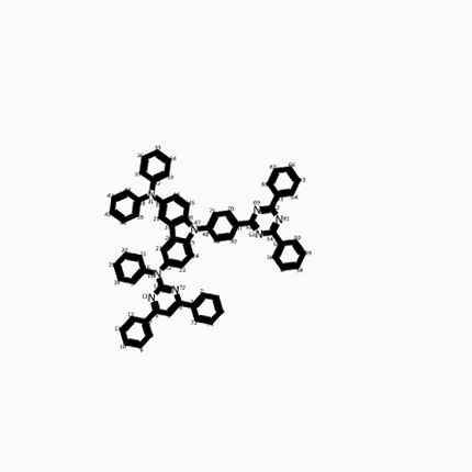 c1ccc(-c2cc(-c3ccccc3)nc(N(c3ccccc3)c3ccc4c(c3)c3cc(N(c5ccccc5)c5ccccc5)ccc3n4-c3ccc(-c4nc(-c5ccccc5)nc(-c5ccccc5)n4)cc3)n2)cc1